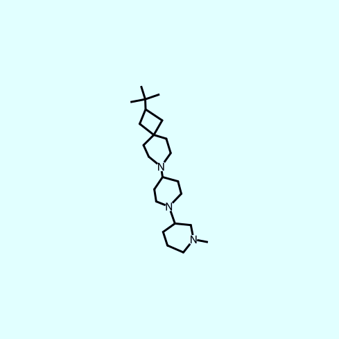 CN1CCCC(N2CCC(N3CCC4(CC3)CC(C(C)(C)C)C4)CC2)C1